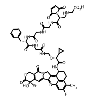 CC[C@@]1(O)C(=O)OCc2c1cc1n(c2=O)Cc2c-1nc1cc(F)c(C)c3c1c2[C@@H](NC(=O)[C@@H](OCNC(=O)CNC(=O)[C@H](Cc1ccccc1)NC(=O)CNC(=O)CNC(=O)[C@H](CNCC(=O)O)N1C(=O)C=CC1=O)C1CC1)CC3